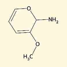 COC1=CC=COC1N